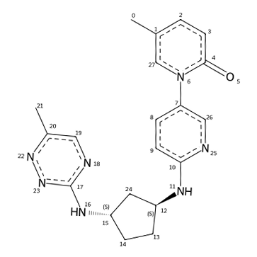 Cc1ccc(=O)n(-c2ccc(N[C@H]3CC[C@H](Nc4ncc(C)nn4)C3)nc2)c1